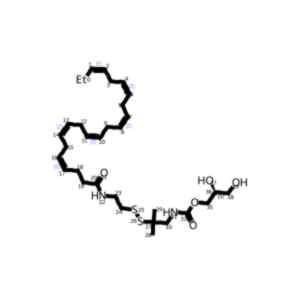 CC/C=C\C/C=C\C/C=C\C/C=C\C/C=C\C/C=C\CCC(=O)NCCSSC(C)(C)CNC(=O)OC[C@@H](O)CO